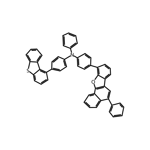 c1ccc(-c2cc3c4cccc(-c5ccc(N(c6ccccc6)c6ccc(-c7cccc8sc9ccccc9c78)cc6)cc5)c4oc3c3ccccc23)cc1